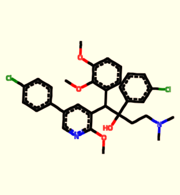 COc1cccc(C(c2cc(-c3ccc(Cl)cc3)cnc2OC)C(O)(CCN(C)C)c2cccc(Cl)c2)c1OC